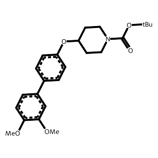 COc1ccc(-c2ccc(OC3CCN(C(=O)OC(C)(C)C)CC3)cc2)cc1OC